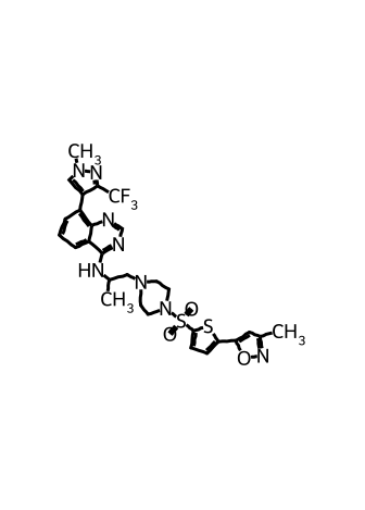 Cc1cc(-c2ccc(S(=O)(=O)N3CCN(CC(C)Nc4ncnc5c(-c6cn(C)nc6C(F)(F)F)cccc45)CC3)s2)on1